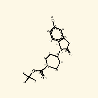 CC(C)(C)OC(=O)N1CCC(N2C(=O)Cc3cc(Cl)ccc32)CC1